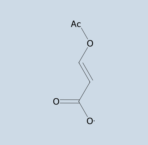 CC(=O)OC=CC([O])=O